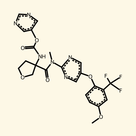 COc1ccc(Oc2cnc(N(C)C(=O)C3(NC(=O)Oc4cncnc4)CCOC3)nc2)c(C(F)(F)F)c1